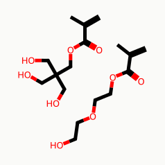 C=C(C)C(=O)OCC(CO)(CO)CO.C=C(C)C(=O)OCCOCCO